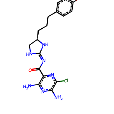 Nc1nc(N)c(C(=O)/N=C2\NC[C@@H](CCCc3ccc(O)cc3)N2)nc1Cl